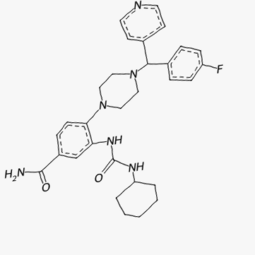 NC(=O)c1ccc(N2CCN(C(c3ccncc3)c3ccc(F)cc3)CC2)c(NC(=O)NC2CCCCC2)c1